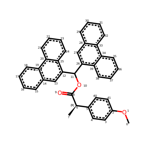 COc1ccc([C@@H](C)C(=O)OC(c2cc3ccccc3c3ccccc23)c2cc3ccccc3c3ccccc23)cc1